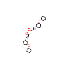 O=C(/C=C/c1cccc(Oc2ccccc2)c1)CC(=O)/C=C/c1cccc(Oc2ccccc2)c1